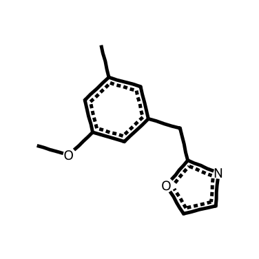 COc1cc(C)cc(Cc2ncco2)c1